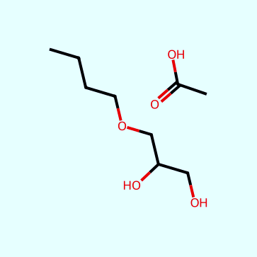 CC(=O)O.CCCCOCC(O)CO